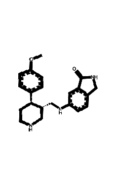 COc1ccc([C@@H]2CCNC[C@H]2CNc2ccc3c(c2)C(=O)NC3)cc1